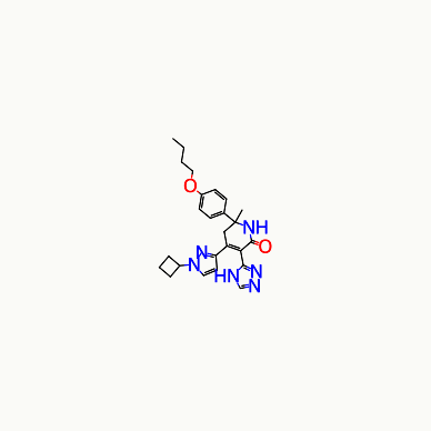 CCCCOc1ccc(C2(C)CC(c3ccn(C4CCC4)n3)=C(c3nnc[nH]3)C(=O)N2)cc1